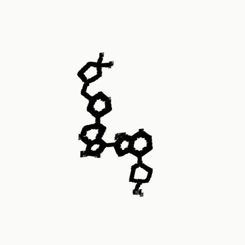 CN1CCN(c2ccnc3[nH]c(-c4n[nH]c5ncc(-c6cncc(CN7CCC(F)(F)C7)c6)cc45)cc23)CC1